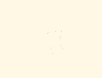 CC1=C(C#N)C(c2cccc(Cl)c2F)C(C(=O)OC2CCCC2)=C(C)N1